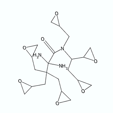 NC(N)(C(=O)N(CC1CO1)C(CC1CO1)C1CO1)C(CC1CO1)(CC1CO1)CC1CO1